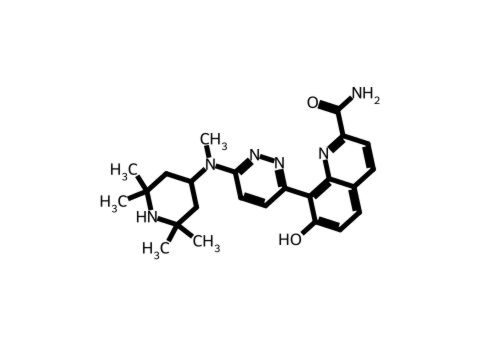 CN(c1ccc(-c2c(O)ccc3ccc(C(N)=O)nc23)nn1)C1CC(C)(C)NC(C)(C)C1